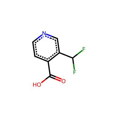 O=C(O)c1ccncc1C(F)F